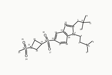 CN(C)CCn1c(CC(C)(C)C)nc2cc(S(=O)(=O)C3CN(S(C)(=O)=O)C3)ccc21